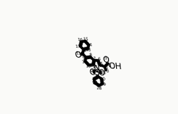 CC(C(=O)O)c1cc2cc(C(=O)c3ccccc3)ccc2n1S(=O)(=O)c1ccccc1